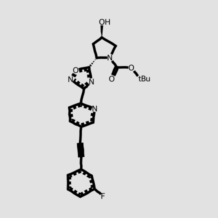 CC(C)(C)OC(=O)N1C[C@H](O)C[C@H]1c1nc(-c2ccc(C#Cc3cccc(F)c3)cn2)no1